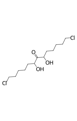 O=C(C(O)CCCCCCl)C(O)CCCCCCl